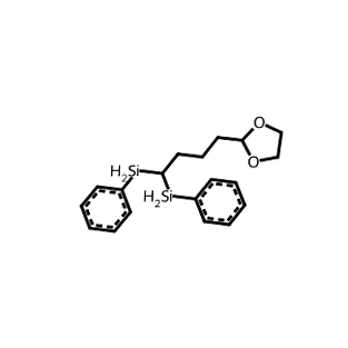 c1ccc([SiH2]C(CCCC2OCCO2)[SiH2]c2ccccc2)cc1